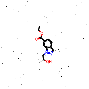 CCOC(=O)c1ccc2cnn(C[C@@H](C)O)c2c1